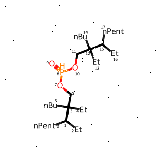 CCCCCC(CC)C(CC)(CCCC)CO[PH](=O)OCC(CC)(CCCC)C(CC)CCCCC